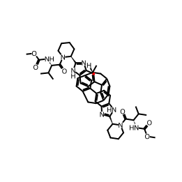 COC(=O)N[C@H](C(=O)N1CCCC[C@H]1c1nc2cc(-c3cc4ccc3CCc3ccc(c(-c5ccc6[nH]c([C@@H]7CCCCN7C(=O)[C@@H](NC(=O)OC)C(C)C)nc6c5)c3)C[C@H]4C)ccc2[nH]1)C(C)C